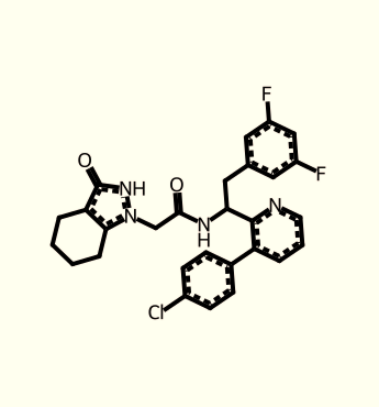 O=C(Cn1[nH]c(=O)c2c1CCCC2)NC(Cc1cc(F)cc(F)c1)c1ncccc1-c1ccc(Cl)cc1